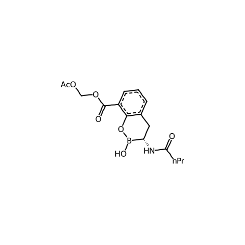 CCCC(=O)N[C@H]1Cc2cccc(C(=O)OCOC(C)=O)c2OB1O